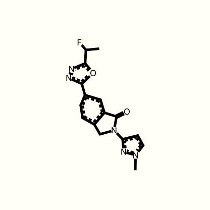 CC(F)c1nnc(-c2ccc3c(c2)C(=O)N(c2ccn(C)n2)C3)o1